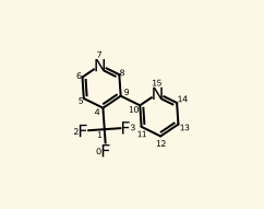 FC(F)(F)c1ccncc1-c1ccccn1